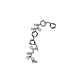 CN(Cc1cccc(-c2ccc(NC(=O)NC3CCN(Cc4ccccc4)CC3)cc2)c1)C(=O)CNC(=O)OC(C)(C)C